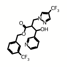 O=C(OCc1cccc(C(F)(F)F)c1)C(Cn1cc(C(F)(F)F)cn1)C(O)c1cccnc1